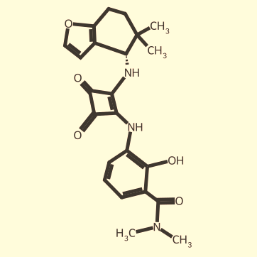 CN(C)C(=O)c1cccc(Nc2c(N[C@@H]3c4ccoc4CCC3(C)C)c(=O)c2=O)c1O